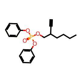 C#CC(CCCC)COP(=O)(Oc1ccccc1)Oc1ccccc1